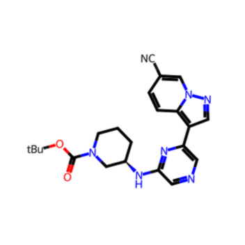 CC(C)(C)OC(=O)N1CCC[C@@H](Nc2cncc(-c3cnn4cc(C#N)ccc34)n2)C1